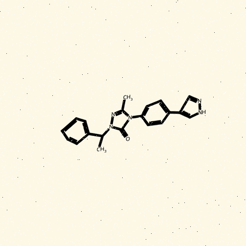 Cc1nn(C(C)c2ccccc2)c(=O)n1-c1ccc(-c2cn[nH]c2)cc1